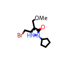 COCc1c(CBr)[nH]n(C2CCCC2)c1=O